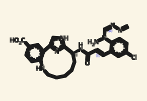 C=N/N=C\N(N)c1ccc(Cl)cc1/C=C/C(=O)N[C@H]1CCCCCNc2ccc(C(=O)O)cc2-c2c[nH]c1n2